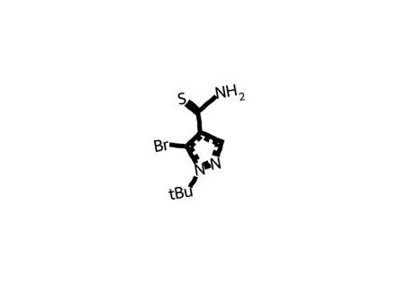 CC(C)(C)n1ncc(C(N)=S)c1Br